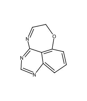 C1=Nc2ncnc3cccc(c23)OC1